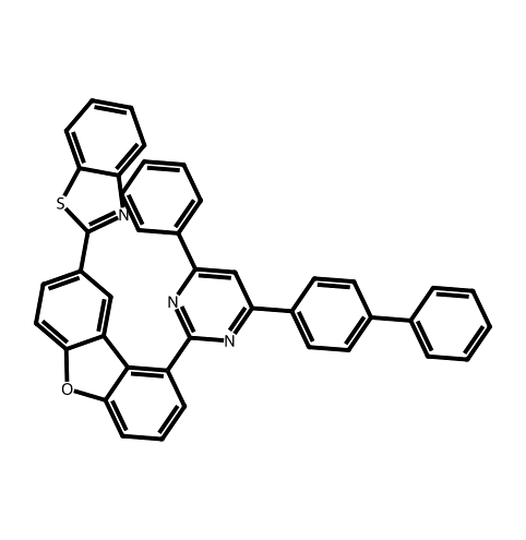 c1ccc(-c2ccc(-c3cc(-c4ccccc4)nc(-c4cccc5oc6ccc(-c7nc8ccccc8s7)cc6c45)n3)cc2)cc1